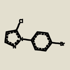 Clc1ccnn1-c1ccc(Br)cc1